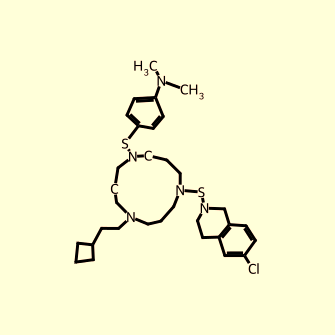 CN(C)c1ccc(SN2CCCN(CCC3CCC3)CCCN(SN3CCc4cc(Cl)ccc4C3)CCC2)cc1